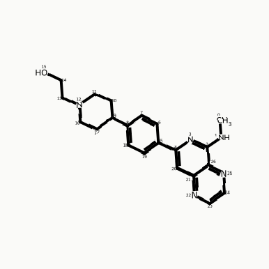 CNc1nc(-c2ccc(C3CCN(CCO)CC3)cc2)cc2nccnc12